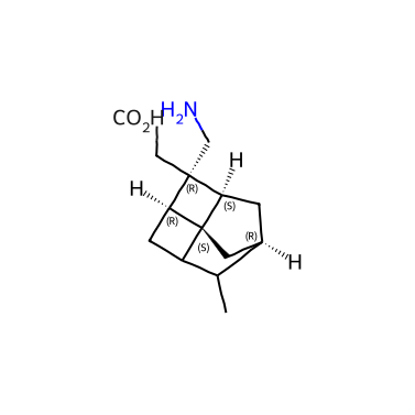 CC1C2C[C@H]3[C@@](CN)(CC(=O)O)[C@H]4C[C@@H]1C[C@]243